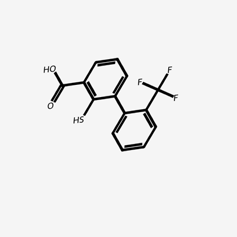 O=C(O)c1cccc(-c2ccccc2C(F)(F)F)c1S